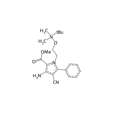 COC(=O)c1c(N)c(C#N)c(-c2ccccc2)n1CCO[Si](C)(C)C(C)(C)C